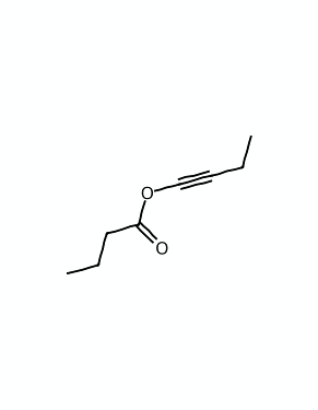 CCC#COC(=O)CCC